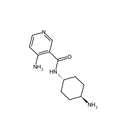 Nc1ccncc1C(=O)N[C@H]1CC[C@H](N)CC1